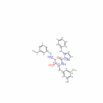 CCc1cccc(CNC[C@H](O)[C@H](Cc2cc(F)cc(F)c2)NC(=O)c2nccn2Cc2ccccc2)c1